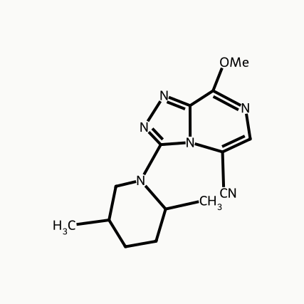 COc1ncc(C#N)n2c(N3CC(C)CCC3C)nnc12